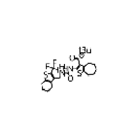 CC(C)(C)OC(=O)c1c(NC(=O)NCc2c(C(F)(F)I)sc3c2CCCC3)sc2c1CCCCC2